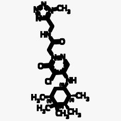 C[C@@H]1[C@@H](C)C(C)(C)[C@@H](C)C[C@H]1Nc1cnn(CC(=O)NCc2nnnn2C)c(=O)c1Cl